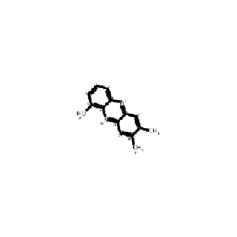 Cc1cc2nc3cccc(O)c3nc2cc1C